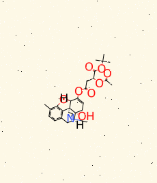 CC(=O)O[C@@H](CC(=O)OC1=CC[C@@]2(O)[C@H]3Cc4ccc(C)c5c4[C@@]2(CCN3C)[C@H]1O5)C(=O)OC(C)(C)C